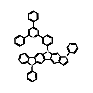 c1ccc(-c2cc(-c3ccccc3)nc(-c3cccc(-n4c5cc6c7ccccc7n(-c7ccccc7)c6cc5c5cc6ccn(-c7ccccc7)c6cc54)c3)n2)cc1